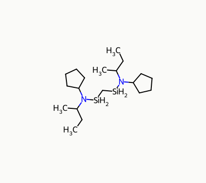 CCC(C)N([SiH2]C[SiH2]N(C(C)CC)C1CCCC1)C1CCCC1